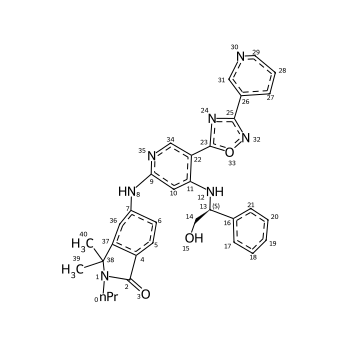 CCCN1C(=O)c2ccc(Nc3cc(N[C@H](CO)c4ccccc4)c(-c4nc(-c5cccnc5)no4)cn3)cc2C1(C)C